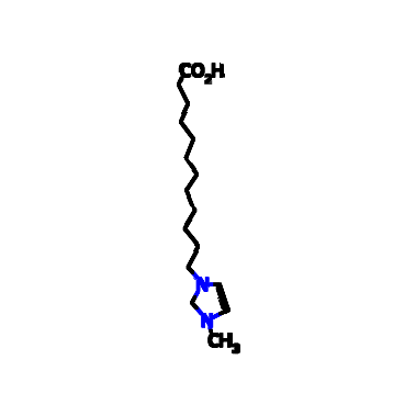 CN1C=CN(CCCCCCCCCCCC(=O)O)C1